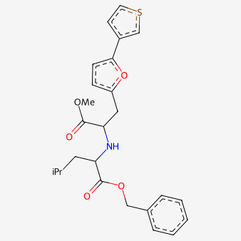 COC(=O)C(Cc1ccc(-c2ccsc2)o1)NC(CC(C)C)C(=O)OCc1ccccc1